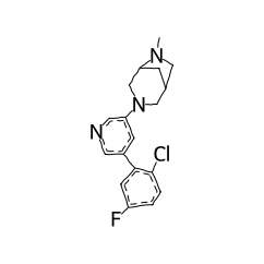 CN1CC2CC1CN(c1cncc(-c3cc(F)ccc3Cl)c1)C2